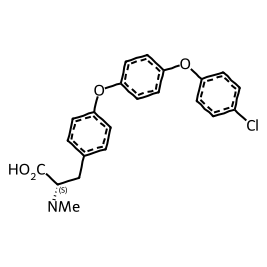 CN[C@@H](Cc1ccc(Oc2ccc(Oc3ccc(Cl)cc3)cc2)cc1)C(=O)O